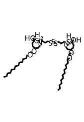 CCCCCCCCCCCCCOCOC1CCC(O)[SiH2]N(CCCSSSCCCN2CCC(OCOCCCCCCCCCCCCC)CCC(O)[SiH2]2)CC1